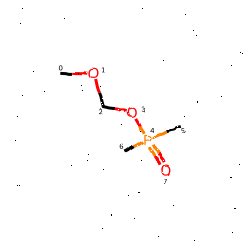 COCOP(C)(C)=O